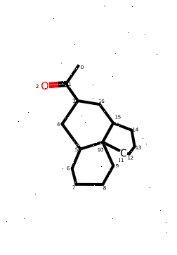 CC(=O)C1CC2CCCCC23CCCCC3C1